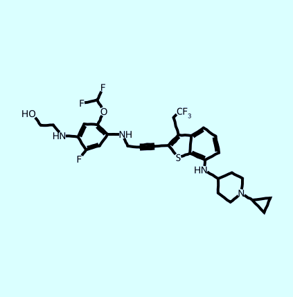 OCCNc1cc(OC(F)F)c(NCC#Cc2sc3c(NC4CCN(C5CC5)CC4)cccc3c2CC(F)(F)F)cc1F